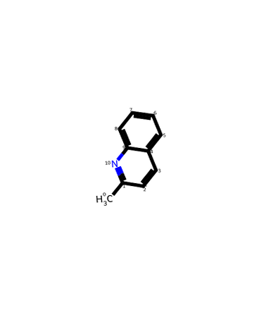 Cc1[c]cc2ccccc2n1